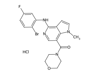 Cl.Cn1ccc2c(Nc3cc(F)ccc3Br)ncc(C(=O)N3CCOCC3)c21